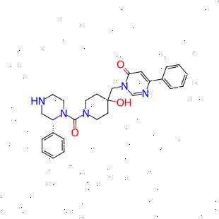 O=C(N1CCC(O)(Cn2cnc(-c3ccccc3)cc2=O)CC1)N1CCNC[C@H]1c1ccccc1